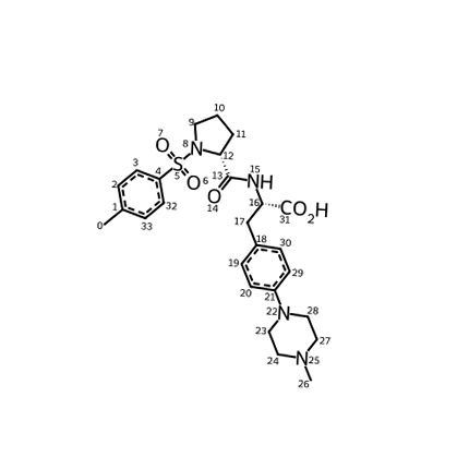 Cc1ccc(S(=O)(=O)N2CCC[C@@H]2C(=O)N[C@@H](Cc2ccc(N3CCN(C)CC3)cc2)C(=O)O)cc1